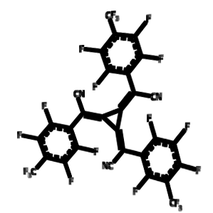 N#CC(=C1C(=C(/C#N)c2c(F)c(F)c(C(F)(F)F)c(F)c2F)/C1=C(/C#N)c1c(F)c(F)c(C(F)(F)F)c(F)c1F)c1c(F)c(F)c(F)c(C(F)(F)F)c1F